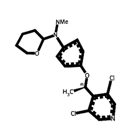 CNN(c1ccc(O[C@H](C)c2c(Cl)cncc2Cl)cc1)C1CCCCO1